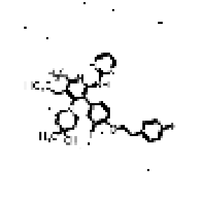 Cc1nc(Nc2ncccn2)c(-c2ccc(OCCc3ccc(F)cc3)c(F)c2)c(N2CCC(C)(C)CC2)c1CC(=O)O